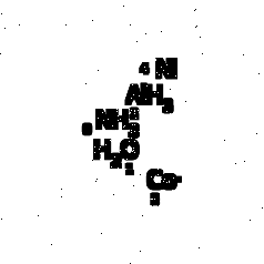 N.O.[AlH3].[Co].[Ni]